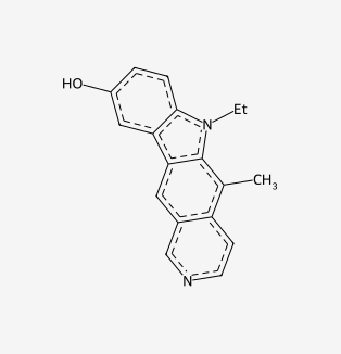 CCn1c2ccc(O)cc2c2cc3cnccc3c(C)c21